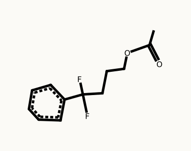 CC(=O)OCCCC(F)(F)c1ccccc1